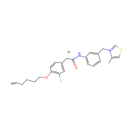 CCCCCCCCCCCCCCOc1ccc(CC(=O)Nc2cccc(C[n+]3cscc3C)c2)cc1F.[Br-]